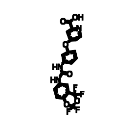 O=C(Nc1cccc(Oc2ccnc(C(=O)O)c2)c1)Nc1ccc2c(c1)C(F)(F)OC(F)(F)O2